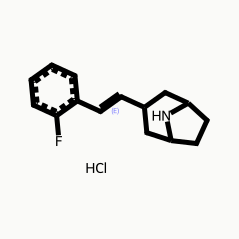 Cl.Fc1ccccc1/C=C/C1CC2CCC(C1)N2